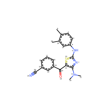 Cc1ccc(Nc2nc(N(C)C)c(C(=O)c3cccc(C#N)c3)s2)cc1C